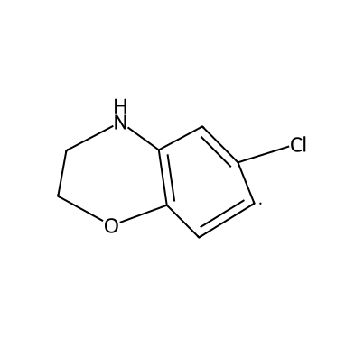 Clc1[c]cc2c(c1)NCCO2